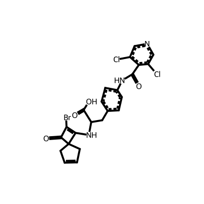 O=C(Nc1ccc(CC(NC2=C(Br)C(=O)C23CC=CC3)C(=O)O)cc1)c1c(Cl)cncc1Cl